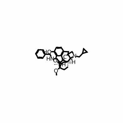 COC12CC[C@@]3(C[C@]1(C)CNCc1ccccc1)[C@@H]1N(CC4CC4)CC14Cc1ccc(O)c5c1[C@@]3(C4)[C@H]2O5